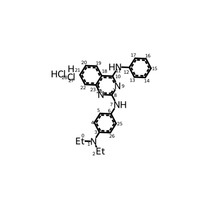 CCN(CC)c1ccc(Nc2nc(Nc3ccccc3)c3ccccc3n2)cc1.Cl.Cl